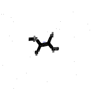 O=C/C(Cl)=C(\Cl)C(=O)O